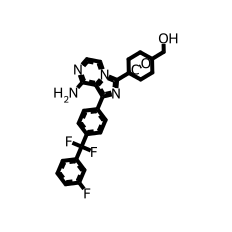 Nc1nccn2c(C34CCC(CO)(CC3)OC4)nc(-c3ccc(C(F)(F)c4cccc(F)c4)cc3)c12